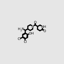 NC(c1cc(Cl)c(Cl)cc1O)C1CCN(C(=O)C2CCC(=O)NC2)CC1